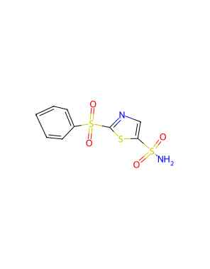 NS(=O)(=O)c1cnc(S(=O)(=O)c2ccccc2)s1